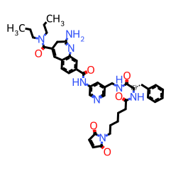 CCCN(CCC)C(=O)C1=Cc2ccc(C(=O)Nc3cncc(CNC(=O)[C@H](Cc4ccccc4)NC(=O)CCCCCN4C(=O)C=CC4=O)c3)cc2N=C(N)C1